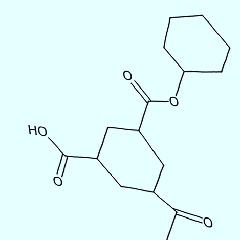 O=C(O)C1CC(C(=O)O)CC(C(=O)OC2CCCCC2)C1